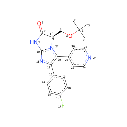 CC(C)(C)OC[C@@H]1C(=O)Nc2nc(-c3ccc(F)cc3)c(-c3ccncc3)n21